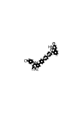 CC(=O)N1c2ccc(-c3ccc(N4CCC(N5CCN(Cc6ccccc6N6CCC(=O)NC6=O)CC5)CC4)cc3)cc2C(Nc2ccc(Cl)cc2)CC1C